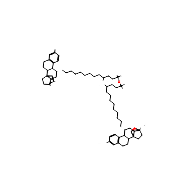 C[C@]12C[C@@H](CCCCCCCCCC(CCC(F)(F)C(F)(F)F)[S+]([O-])C(CCCCCCCCC[C@H]3C[C@]4(C)C5(O)CCC4(CC5)C4CCc5cc(O)ccc5C43)CCC(F)(F)C(F)(F)F)C3c4ccc(O)cc4CCC3C13CCC2(O)CC3